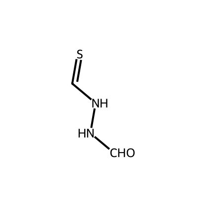 O=CNNC=S